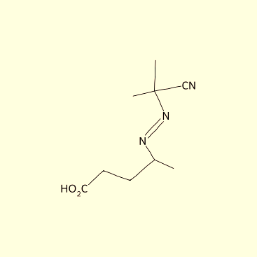 CC(CCC(=O)O)N=NC(C)(C)C#N